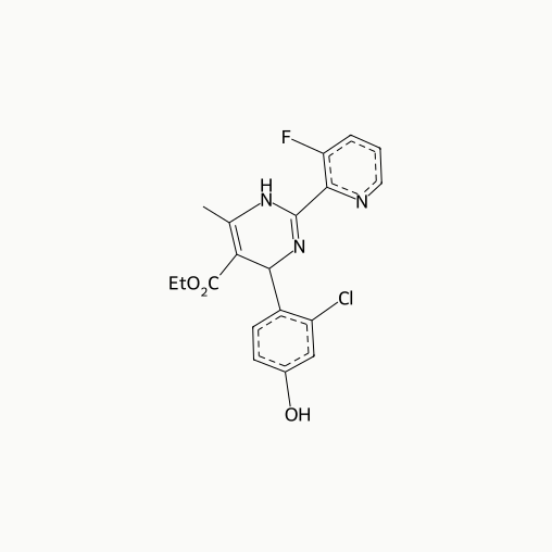 CCOC(=O)C1=C(C)NC(c2ncccc2F)=NC1c1ccc(O)cc1Cl